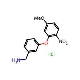 COc1ccc([N+](=O)[O-])c(Oc2cccc(CN)c2)c1.Cl